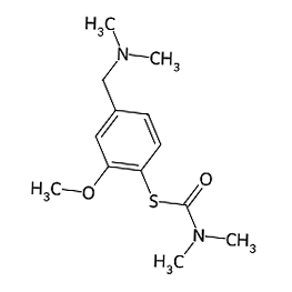 COc1cc(CN(C)C)ccc1SC(=O)N(C)C